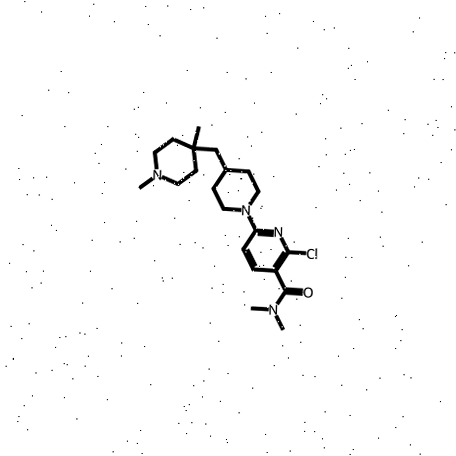 CN1CCC(C)(CC2CCN(c3ccc(C(=O)N(C)C)c(Cl)n3)CC2)CC1